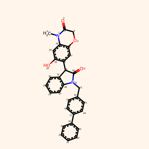 CN1C(=O)COc2cc(C3C(=O)N(Cc4ccc(-c5ccccc5)cc4)c4ccccc43)c(O)cc21